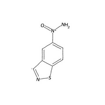 N[N+](=O)c1ccc2sn[c]c2c1